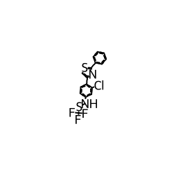 FC(F)(F)SNc1ccc(-c2csc(-c3ccccc3)n2)c(Cl)c1